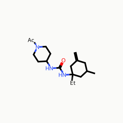 C=C1CC(C)CC(CC)(NC(=O)NC2CCN(C(C)=O)CC2)C1